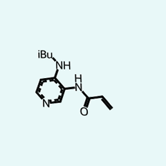 C=CC(=O)Nc1cnccc1NC(C)CC